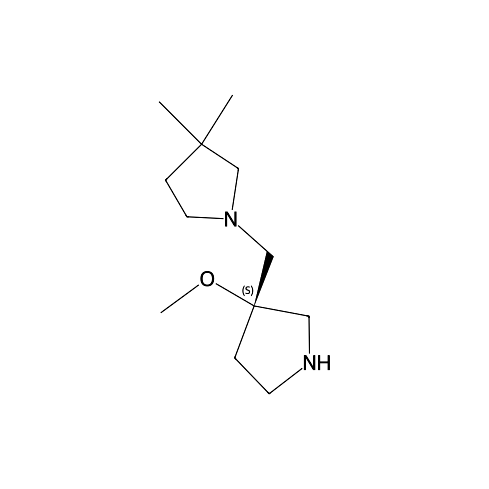 CO[C@@]1(CN2CCC(C)(C)C2)CCNC1